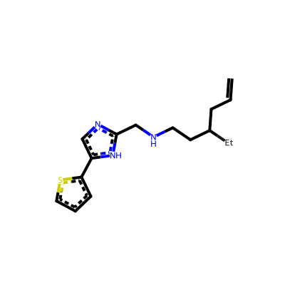 C=CCC(CC)CCNCc1ncc(-c2cccs2)[nH]1